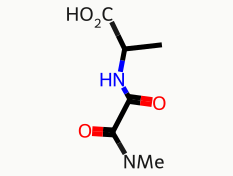 CNC(=O)C(=O)NC(C)C(=O)O